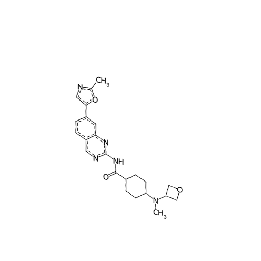 Cc1ncc(-c2ccc3cnc(NC(=O)C4CCC(N(C)C5COC5)CC4)nc3c2)o1